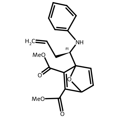 C=CC[C@@H](Nc1ccccc1)C12C=CC(O1)C(C(=O)OC)=C2C(=O)OC